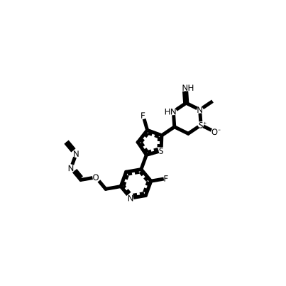 C=N/N=C\OCc1cc(-c2cc(F)c(C3C[S+]([O-])N(C)C(=N)N3)s2)c(F)cn1